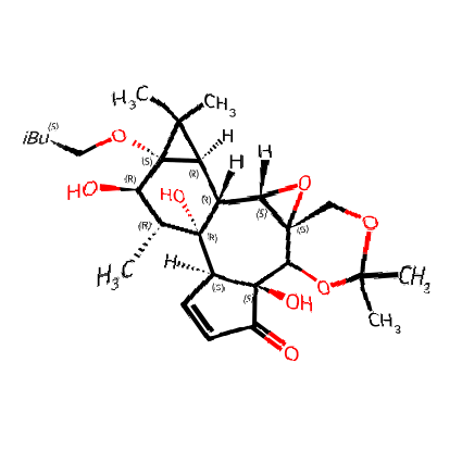 CC[C@H](C)CO[C@@]12[C@H](O)[C@@H](C)[C@@]3(O)[C@H]([C@@H]1C2(C)C)[C@@H]1O[C@@]12COC(C)(C)OC2[C@]1(O)C(=O)C=C[C@@H]31